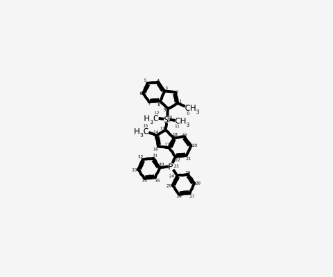 CC1=Cc2ccccc2C1[Si](C)(C)C1C(C)=Cc2c1cccc2P(c1ccccc1)c1ccccc1